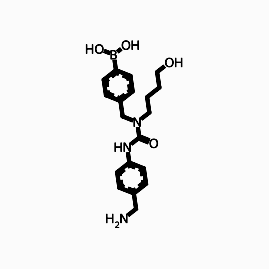 NCc1ccc(NC(=O)N(CCCCO)Cc2ccc(B(O)O)cc2)cc1